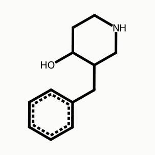 OC1CCNCC1Cc1ccccc1